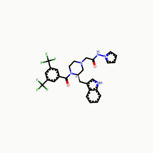 O=C(CN1CCN(C(=O)c2cc(C(F)(F)F)cc(C(F)(F)F)c2)[C@H](Cc2c[nH]c3ccccc23)C1)Nn1cccc1